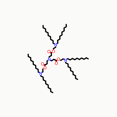 CCCCCCCCCCN(CCCCCCCCCC)CCOC(=O)CCN(CCC(=O)OCCN(CCCCCCCCCC)CCCCCCCCCC)CCC(=O)OCCN(CCCCCCCCCC)CCCCCCCCCC